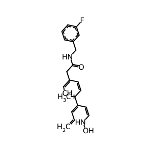 C=C/C=C(\C=C/NO)C(C)/C=C\C(=C/C)CC(=O)NCc1cccc(F)c1